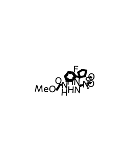 COCC(=O)Nc1ccc(F)c(C23CCCC2S(=O)(=O)N(C)C(=N)N3)c1